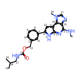 CNc1nc2[nH]c(-c3cccc(COC(=O)NCC(C)C)c3)cc2c2c1ncn2C